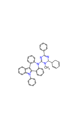 CN1C(N2c3ccccc3-c3c(n(-c4ccccc4)c4ccccc34)-c3ccccc32)=NC(c2ccccc2)=NC1C1C=CC=CC1